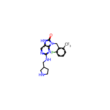 O=c1[nH]c2cnc(NCC3CCNC3)nc2n1Cc1c(F)cccc1C(F)(F)F